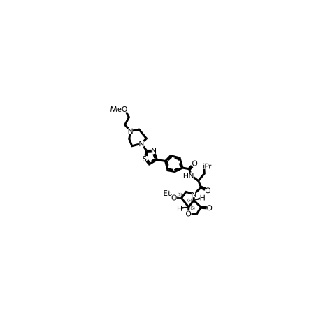 CCO[C@H]1CN(C(=O)C(CC(C)C)NC(=O)c2ccc(-c3csc(N4CCN(CCOC)CC4)n3)cc2)[C@@H]2C(=O)CO[C@H]12